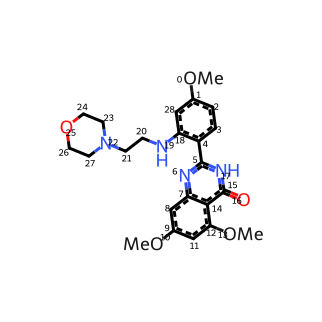 COc1ccc(-c2nc3cc(OC)cc(OC)c3c(=O)[nH]2)c(NCCN2CCOCC2)c1